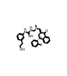 CN(/C=C1\C[C@@H](c2ccccc2F)c2ccccc2C1=O)CNC(=N)Nc1cccc(CCO)c1